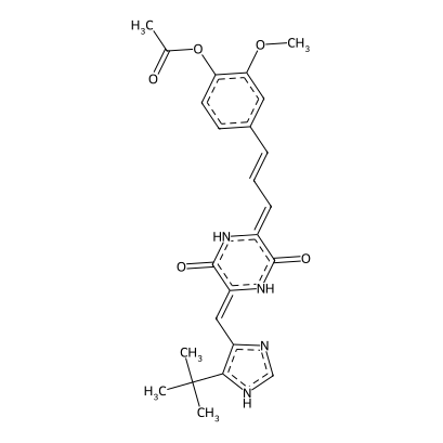 COc1cc(/C=C/C=c2\[nH]c(=O)/c(=C/c3nc[nH]c3C(C)(C)C)[nH]c2=O)ccc1OC(C)=O